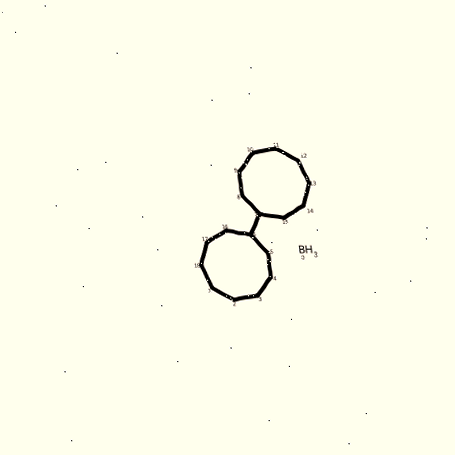 B.C1CCCCC(C2CCCCCCCC2)CCC1